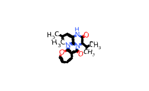 CC(C)/C=C1/NC(=O)C(C(C)C)n2c1nc1c(c2=O)C=CC=CO1